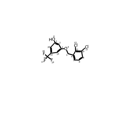 Oc1cc(OCc2cccc(Cl)c2Cl)cc(C(F)(F)F)c1